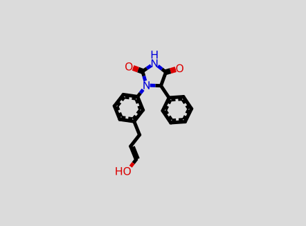 O=C1NC(=O)N(c2cccc(CC=CO)c2)C1c1ccccc1